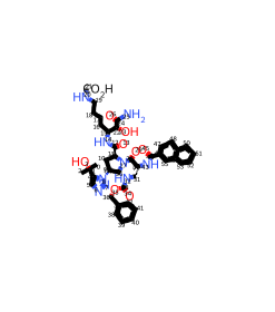 CC(C)(O)c1cnnn1[C@H]1C[C@@H](C(=O)NC(CCCCNC(=O)O)C(O)C(N)=O)N(C(=O)[C@@H](CNC(=O)OCc2ccccc2)NC(=O)c2ccc3ccccc3c2)C1